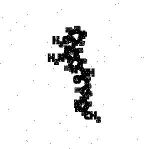 Cc1cn(C2CC(=CC(=O)Nc3cc4cc(-c5cnccc5C)nc(N)c4cn3)C2)nn1